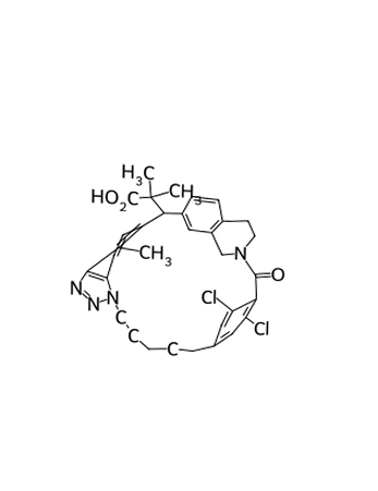 Cc1c2ccc3c1nnn3CCCCCc1cc(Cl)c(c(Cl)c1)C(=O)N1CCc3ccc(cc3C1)C2C(C)(C)C(=O)O